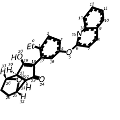 CCc1ccc(Oc2ccc3ccccc3n2)cc1C1=C(O)[C@H]2[C@@H](C1=O)[C@@H]1CC[C@H]2O1